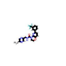 Cc1cnc(CNC(=O)N2CCOc3ccc(-c4cccc(C(F)(F)F)c4)nc32)cn1